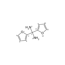 NC(N)(c1ccco1)c1ccco1